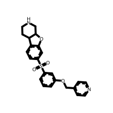 O=S(=O)(c1cccc(OCc2ccncc2)c1)c1ccc2c(c1)OC1CNCCC21